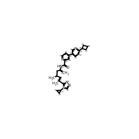 C=C(CC(C)/C=C(\C)c1nncn1C1CC1)NC(=O)c1cc(-c2ccc(C3CCC3)nc2)ccn1